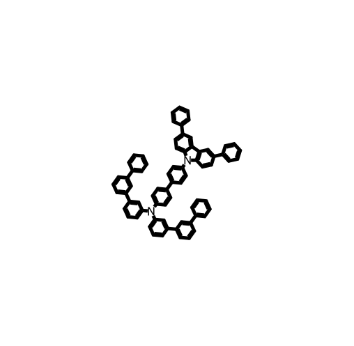 c1ccc(-c2cccc(-c3cccc(N(c4ccc(-c5ccc(-n6c7ccc(-c8ccccc8)cc7c7cc(-c8ccccc8)ccc76)cc5)cc4)c4cccc(-c5cccc(-c6ccccc6)c5)c4)c3)c2)cc1